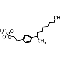 CCCCCCCC(C)c1ccc(CCOS(C)(=O)=O)cc1